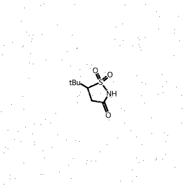 CC(C)(C)C1CC(=O)NS1(=O)=O